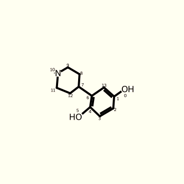 Oc1ccc(O)c(C2CC[N]CC2)c1